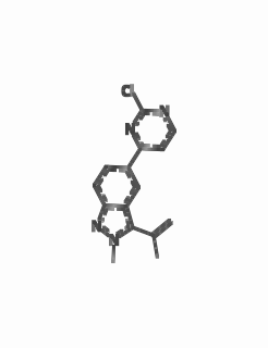 C=C(C)c1c2cc(-c3ccnc(Cl)n3)ccc2nn1C